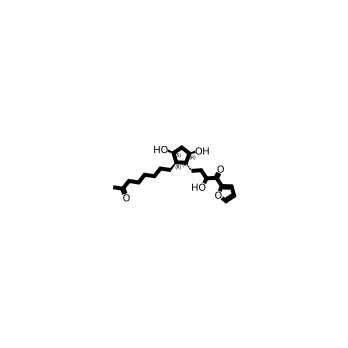 CC(=O)CCCCCC[C@@H]1[C@@H](CCC(O)C(=O)c2ccco2)[C@H](O)C[C@@H]1O